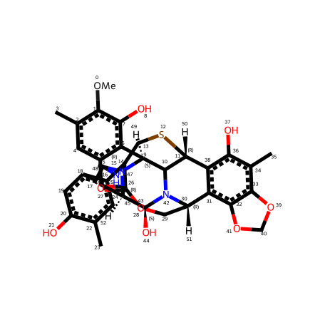 COc1c(C)cc2c(c1O)[C@H]1C3[C@@H]4SC[C@]5(NCCc6cc(O)c(C)cc65)C(=O)OC[C@@H](c5c6c(c(C)c(O)c54)OCO6)N3[C@@H](O)[C@@H](C2)N1C